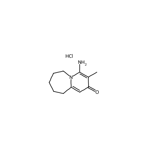 Cc1c(N)n2c(cc1=O)CCCCC2.Cl